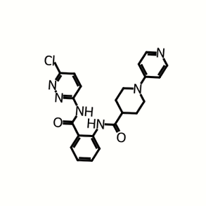 O=C(Nc1ccc(Cl)nn1)c1ccccc1NC(=O)C1CCN(c2ccncc2)CC1